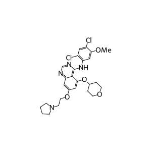 COc1cc(Nc2ncnc3cc(OCCN4CCCC4)cc(OC4CCOCC4)c23)c(Cl)cc1Cl